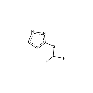 FC(F)Sc1nncs1